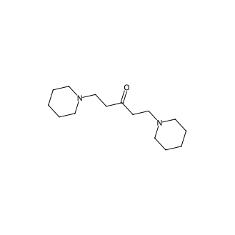 O=C(CCN1CCCCC1)CCN1CCCCC1